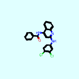 O=C(Nc1cc(Nc2ccc(Cl)c(Cl)c2)nc2ccccc12)c1ccccc1